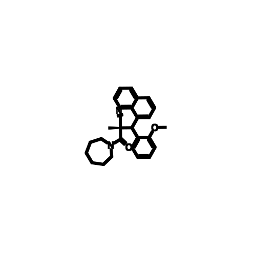 COc1ccccc1C(c1cccc2ccccc12)[C@@](C)(C#N)C(=O)N1CCCCCC1